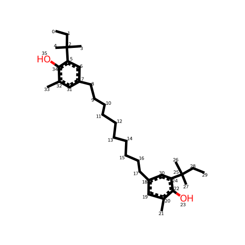 CCC(C)(C)c1cc(CCCCCCCCCCc2cc(C)c(O)c(C(C)(C)CC)c2)cc(C)c1O